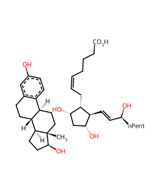 CCCCC[C@H](O)/C=C/[C@@H]1[C@@H](C/C=C\CCCC(=O)O)[C@@H](O)C[C@H]1O.C[C@]12CC[C@@H]3c4ccc(O)cc4CC[C@H]3[C@@H]1CC[C@@H]2O